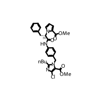 CCCCc1nc(Cl)c(C(=O)OC)n1Cc1ccc(NC(=O)[C@H](Cc2ccccc2)n2cccc2C(=O)OC)cc1